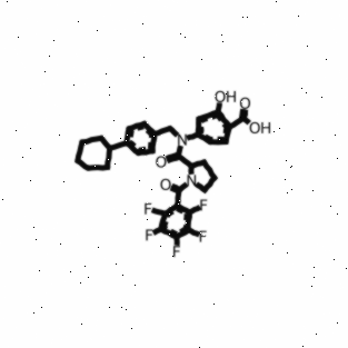 O=C(O)c1ccc(N(Cc2ccc(C3CCCCC3)cc2)C(=O)C2CCCN2C(=O)c2c(F)c(F)c(F)c(F)c2F)cc1O